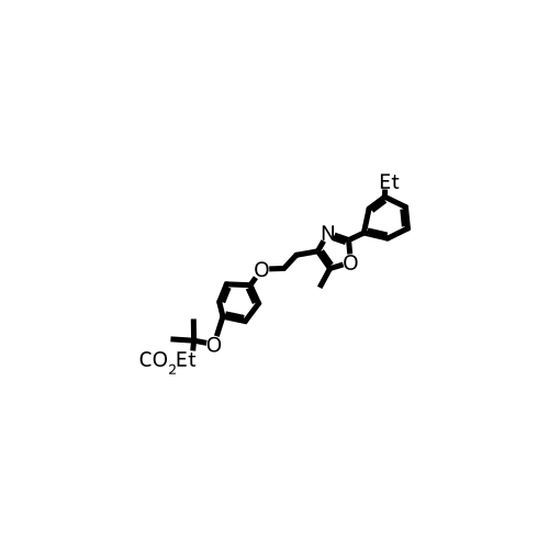 CCOC(=O)C(C)(C)Oc1ccc(OCCc2nc(-c3cccc(CC)c3)oc2C)cc1